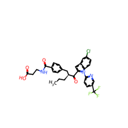 CCC[C@@H](Cc1ccc(C(=O)NCCC(=O)O)cc1)C(=O)c1cc2cc(Cl)ccc2n1-c1ccc(C(F)(F)F)cn1